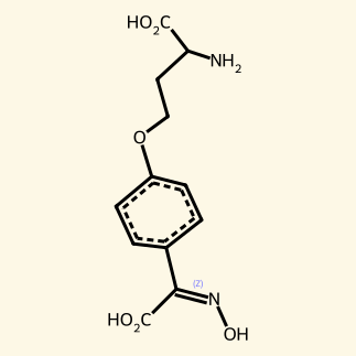 NC(CCOc1ccc(/C(=N/O)C(=O)O)cc1)C(=O)O